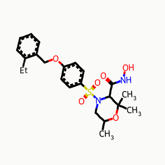 CCc1ccccc1COc1ccc(S(=O)(=O)N2CC(C)OC(C)(C)C2C(=O)NO)cc1